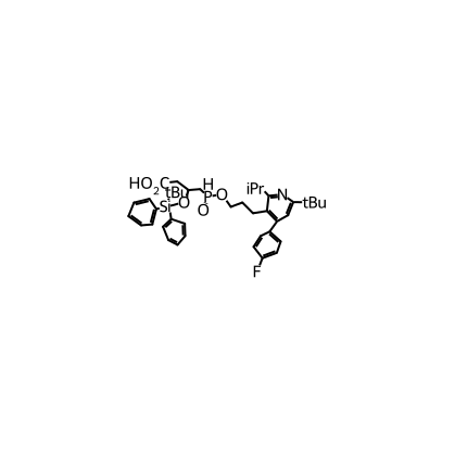 CC(C)c1nc(C(C)(C)C)cc(-c2ccc(F)cc2)c1CCCO[PH](=O)CC(CC(=O)O)O[Si](c1ccccc1)(c1ccccc1)C(C)(C)C